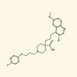 COc1ccc2ncc(Cl)c(CCCC3(C(=O)O)CCN(CCCSc4ccc(F)cc4)CC3)c2c1